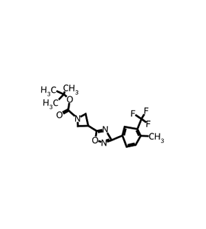 Cc1ccc(-c2noc(C3CN(C(=O)OC(C)(C)C)C3)n2)cc1C(F)(F)F